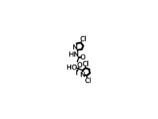 O=C(COC(O)(I)c1nc(Cl)ccc1Cl)Nc1ccc(Cl)cn1